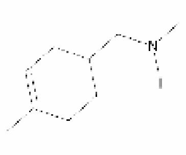 CC1=CCC(CN(C)I)CC1